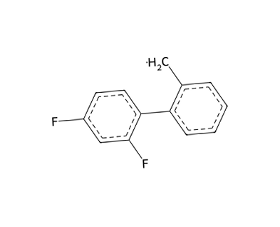 [CH2]c1ccccc1-c1ccc(F)cc1F